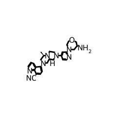 C[C@@H]1CN(c2ccc(C#N)c3ncccc23)C[C@@H]2CN(c3ccnc(N4CCOC[C@@H](N)C4)c3)CCN21